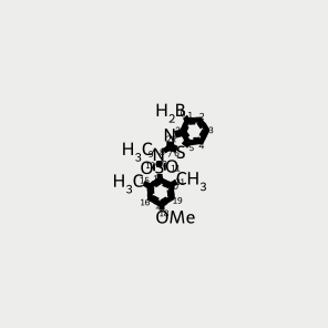 Bc1cccc2sc(N(C)S(=O)(=O)c3c(C)cc(OC)cc3C)nc12